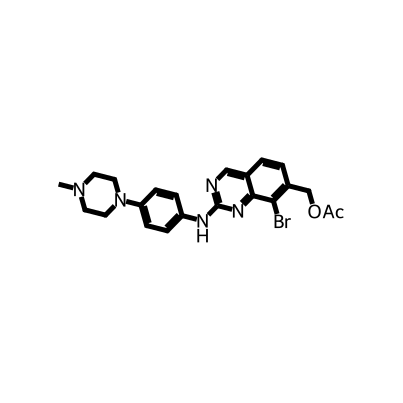 CC(=O)OCc1ccc2cnc(Nc3ccc(N4CCN(C)CC4)cc3)nc2c1Br